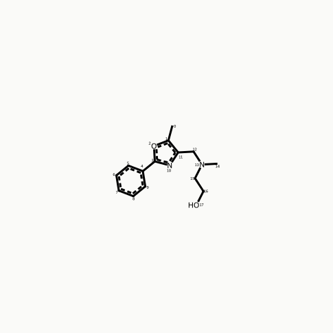 Cc1oc(-c2ccccc2)nc1CN(C)CCO